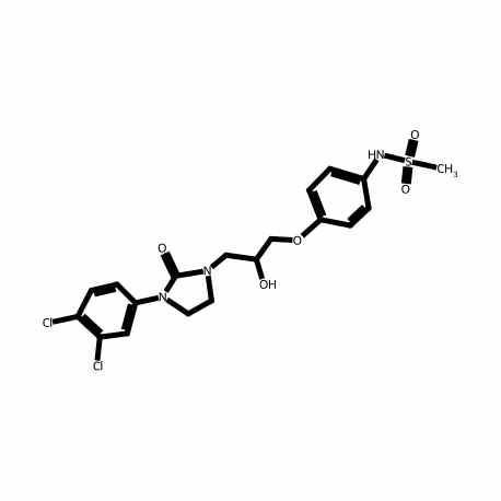 CS(=O)(=O)Nc1ccc(OCC(O)CN2CCN(c3ccc(Cl)c(Cl)c3)C2=O)cc1